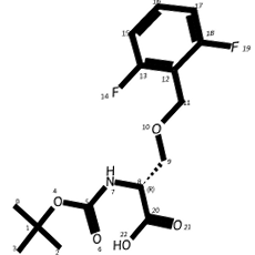 CC(C)(C)OC(=O)N[C@H](COCc1c(F)cccc1F)C(=O)O